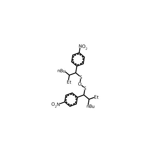 CCCCC(CC)C(SOSC(c1ccc([N+](=O)[O-])cc1)C(CC)CCCC)c1ccc([N+](=O)[O-])cc1